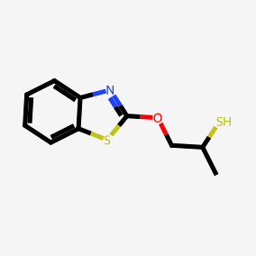 CC(S)COc1nc2ccccc2s1